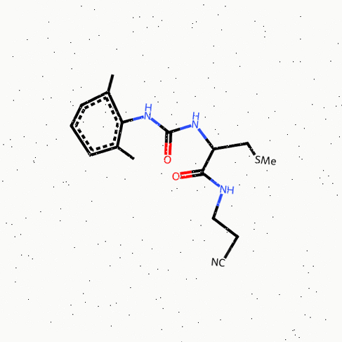 CSCC(NC(=O)Nc1c(C)cccc1C)C(=O)NCCC#N